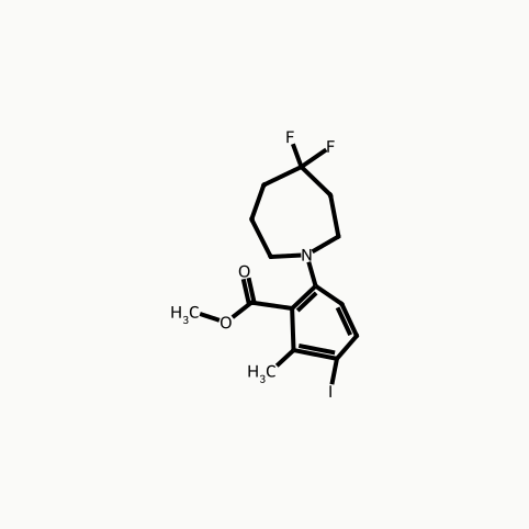 COC(=O)c1c(N2CCCC(F)(F)CC2)ccc(I)c1C